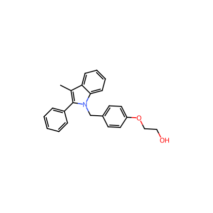 Cc1c(-c2ccccc2)n(Cc2ccc(OCCO)cc2)c2ccccc12